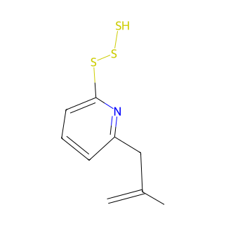 C=C(C)Cc1cccc(SSS)n1